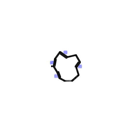 [C]1=C\C=C\C/C=C/CCC/C=C/1